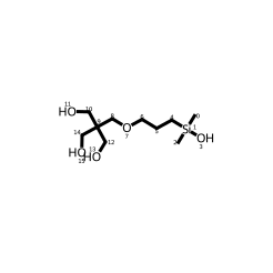 C[Si](C)(O)CCCOCC(CO)(CO)CO